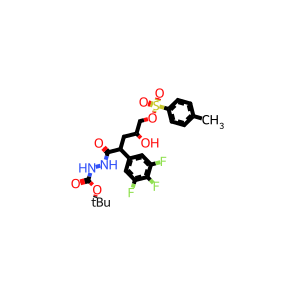 Cc1ccc(S(=O)(=O)OCC(O)CC(C(=O)NNC(=O)OC(C)(C)C)c2cc(F)c(F)c(F)c2)cc1